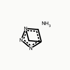 N.c1c2nnn1C2